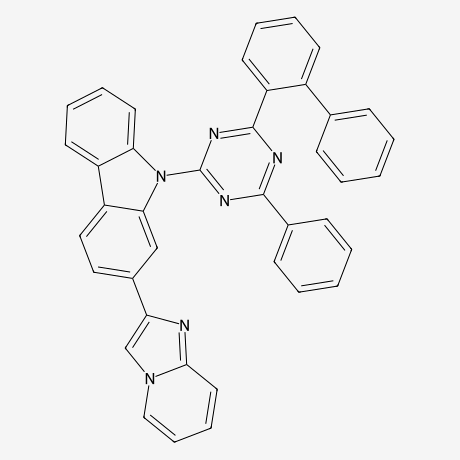 c1ccc(-c2nc(-c3ccccc3-c3ccccc3)nc(-n3c4ccccc4c4ccc(-c5cn6ccccc6n5)cc43)n2)cc1